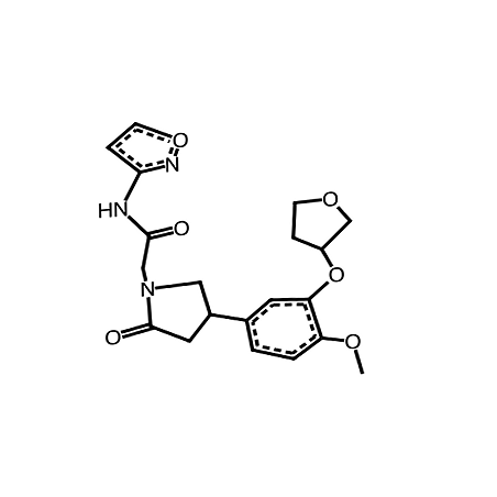 COc1ccc(C2CC(=O)N(CC(=O)Nc3ccon3)C2)cc1OC1CCOC1